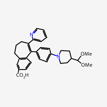 COC(OC)C1CCN(c2ccc(C3=C(c4ccccn4)CCCc4cc(C(=O)O)ccc43)cc2)CC1